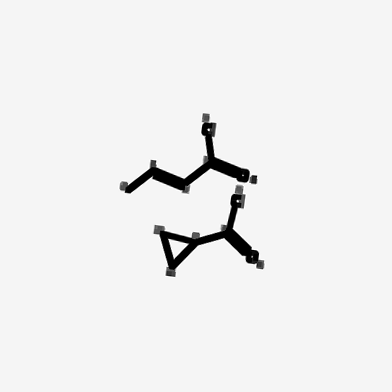 C/C=C/C(=O)Cl.O=C(Cl)C1CC1